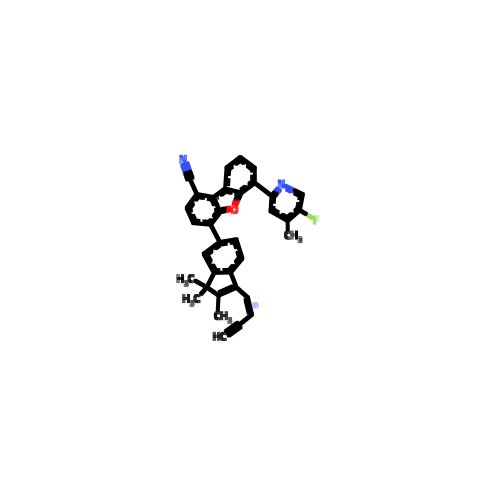 C#C/C=C\C1=C(C)C(C)(C)c2cc(-c3ccc(C#N)c4c3oc3c(-c5cc(C)c(F)cn5)cccc34)ccc21